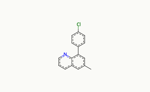 Cc1cc(-c2ccc(Cl)cc2)c2ncccc2c1